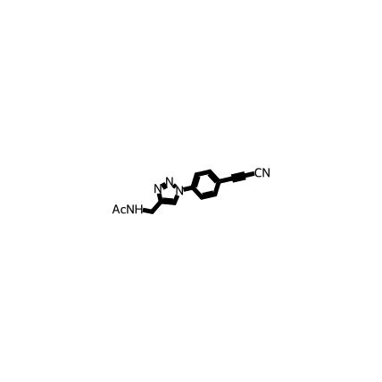 CC(=O)NCc1cn(-c2ccc(C#CC#N)cc2)nn1